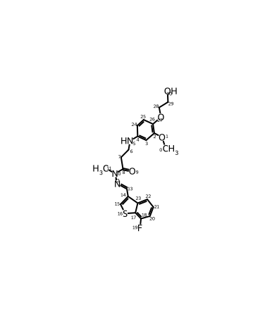 COc1cc(NCCC(=O)N(C)/N=C/c2csc3c(F)cccc23)ccc1OCCO